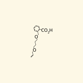 C=CCOCCCCOCc1ccccc1C(=O)O